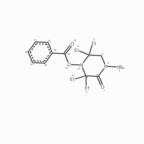 CCC1(CC)CN(C(C)(C)C)C(=O)C(CC)(CC)N1OC(=O)c1ccccc1